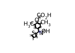 Cc1cc(/C(=N\O)c2cccs2)cc(C)c1OCC(=O)O